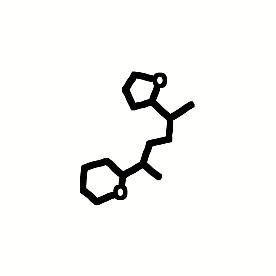 CC(CCC(C)C1CCCO1)C1CCCCO1